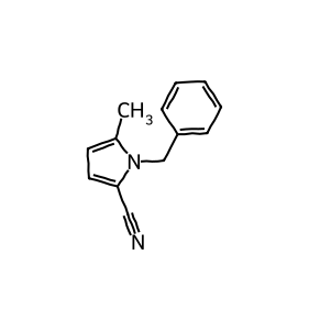 Cc1ccc(C#N)n1Cc1ccccc1